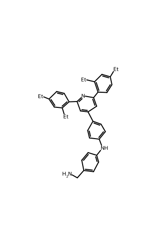 CCc1ccc(-c2cc(-c3ccc(Nc4ccc(CN)cc4)cc3)cc(-c3ccc(CC)cc3CC)n2)c(CC)c1